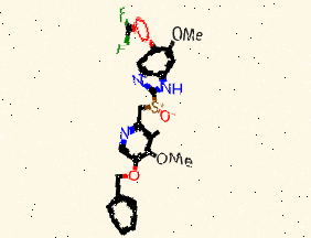 COc1cc2[nH]c([S+]([O-])Cc3ncc(OCc4ccccc4)c(OC)c3C)nc2cc1OC(F)F